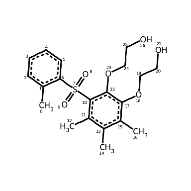 Cc1ccccc1S(=O)(=O)c1c(C)c(C)c(C)c(OCCO)c1OCCO